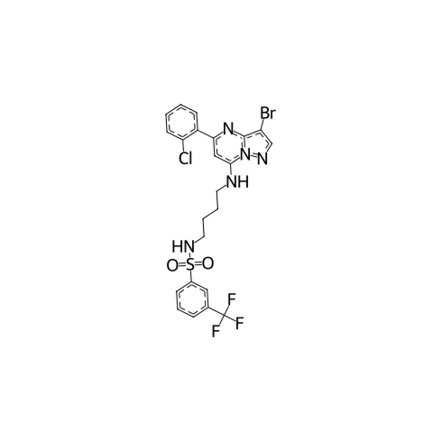 O=S(=O)(NCCCCNc1cc(-c2ccccc2Cl)nc2c(Br)cnn12)c1cccc(C(F)(F)F)c1